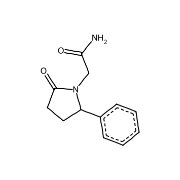 NC(=O)CN1C(=O)CCC1c1ccccc1